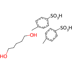 Cc1ccc(S(=O)(=O)O)cc1.Cc1ccc(S(=O)(=O)O)cc1.OCCCCCO